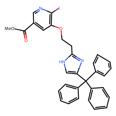 COC(=O)c1cnc(I)c(OCCc2nc(C(c3ccccc3)(c3ccccc3)c3ccccc3)c[nH]2)c1